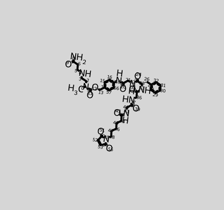 CN(CCNCCC(N)=O)C(=O)OCc1ccc(NC(=O)CNC(=O)[C@H](Cc2ccccc2)NC(=O)CNC(=O)CNC(=O)CCCCCN2C(=O)C=CC2=O)cc1